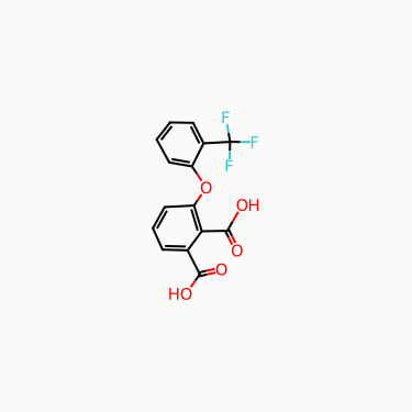 O=C(O)c1cccc(Oc2ccccc2C(F)(F)F)c1C(=O)O